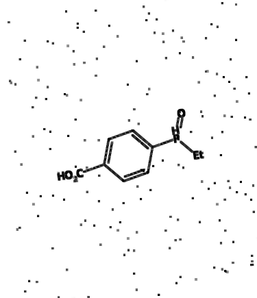 CC[PH](=O)c1ccc(C(=O)O)cc1